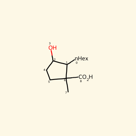 CCCCCCC1C(O)CCC1(C)C(=O)O